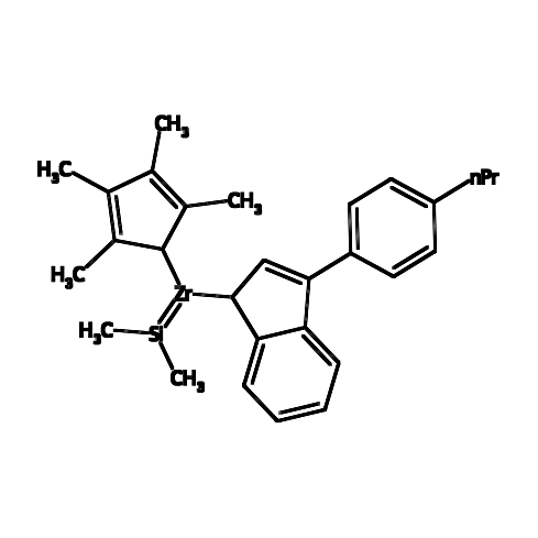 CCCc1ccc(C2=C[CH]([Zr]([CH]3C(C)=C(C)C(C)=C3C)=[Si](C)C)c3ccccc32)cc1